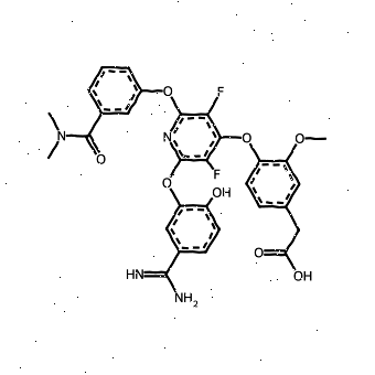 COc1cc(CC(=O)O)ccc1Oc1c(F)c(Oc2cccc(C(=O)N(C)C)c2)nc(Oc2cc(C(=N)N)ccc2O)c1F